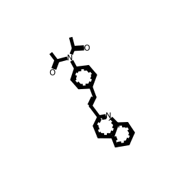 CC(=O)N(C(C)=O)c1ccc(C=Cc2ccc3ccccc3n2)cc1